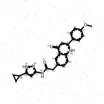 COc1ccc(-c2cc(=O)c3cc(CC(=O)Nc4cc(C5CC5)[nH]n4)ccc3[nH]2)cc1